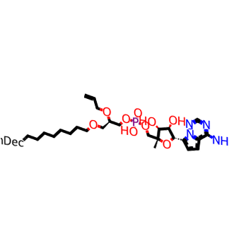 C=CCO[C@H](COCCCCCCCCCCCCCCCCCC)COP(=O)(O)OC[C@@]1(C)O[C@@H](c2ccc3c(N)ncnn23)[C@H](O)[C@@H]1O